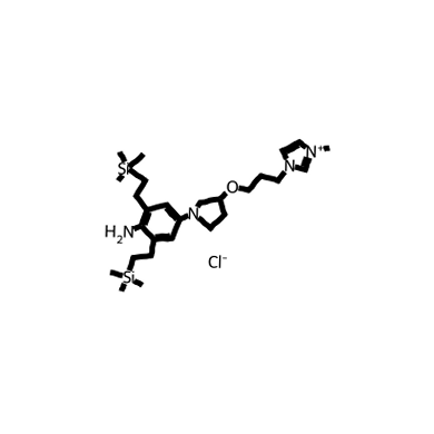 C[n+]1ccn(CCCOC2CCN(c3cc(CC[Si](C)(C)C)c(N)c(CC[Si](C)(C)C)c3)C2)c1.[Cl-]